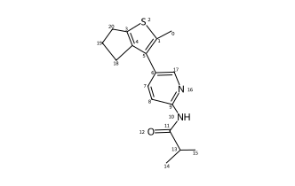 Cc1sc2c(c1-c1ccc(NC(=O)C(C)C)nc1)CCC2